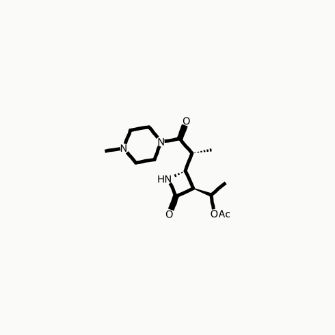 CC(=O)OC(C)[C@H]1C(=O)N[C@@H]1[C@@H](C)C(=O)N1CCN(C)CC1